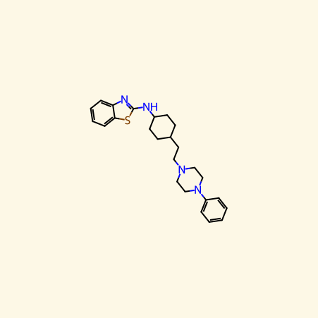 c1ccc(N2CCN(CCC3CCC(Nc4nc5ccccc5s4)CC3)CC2)cc1